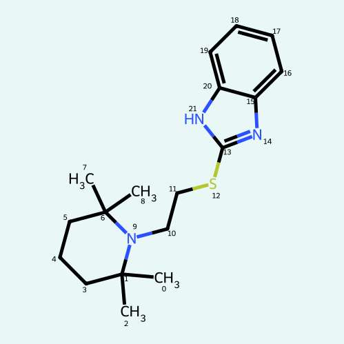 CC1(C)CCCC(C)(C)N1CCSc1nc2ccccc2[nH]1